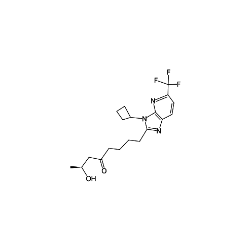 C[C@H](O)CC(=O)CCCCc1nc2ccc(C(F)(F)F)nc2n1C1CCC1